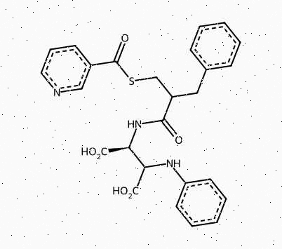 O=C(SCC(Cc1ccccc1)C(=O)N[C@H](C(=O)O)C(Nc1ccccc1)C(=O)O)c1cccnc1